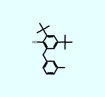 Cc1cccc(Cc2cc(C(C)(C)C)cc(C(C)(C)C)c2O)c1